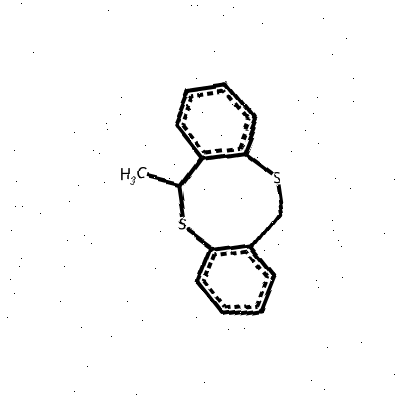 CC1Sc2ccccc2CSc2ccccc21